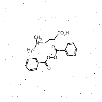 CN(C)CCCC(=O)O.O=C(OOC(=O)c1ccccc1)c1ccccc1